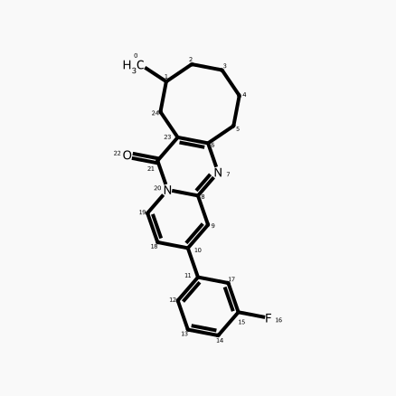 CC1CCCCc2nc3cc(-c4cccc(F)c4)ccn3c(=O)c2C1